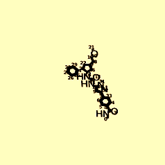 CNC(=O)c1ccc(-c2cc(NC(=O)N[C@@H]3CC(CCOC)C[C@H]3c3ccccc3)n(C)n2)cc1